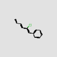 C=CC=CC(Cl)=Cc1ccccc1